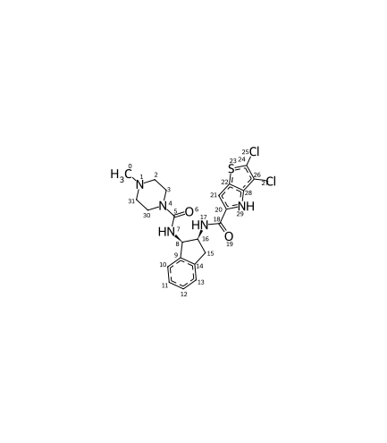 CN1CCN(C(=O)N[C@@H]2c3ccccc3C[C@@H]2NC(=O)c2cc3sc(Cl)c(Cl)c3[nH]2)CC1